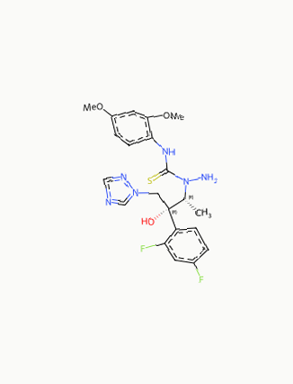 COc1ccc(NC(=S)N(N)[C@H](C)[C@](O)(Cn2cncn2)c2ccc(F)cc2F)c(OC)c1